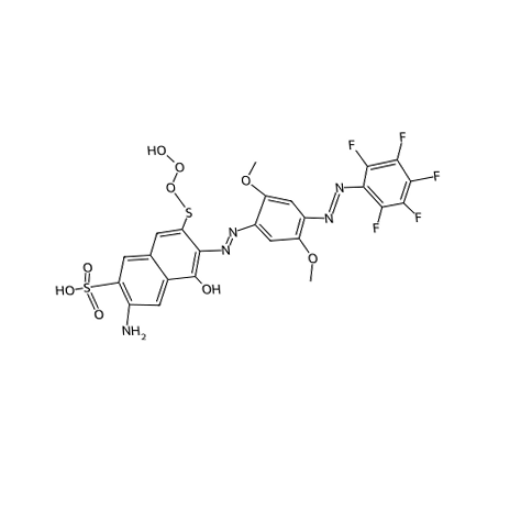 COc1cc(/N=N/c2c(SOOO)cc3cc(S(=O)(=O)O)c(N)cc3c2O)c(OC)cc1/N=N/c1c(F)c(F)c(F)c(F)c1F